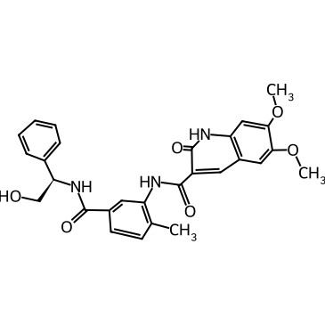 COc1cc2cc(C(=O)Nc3cc(C(=O)N[C@@H](CO)c4ccccc4)ccc3C)c(=O)[nH]c2cc1OC